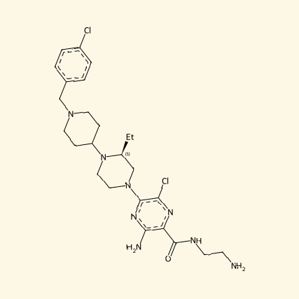 CC[C@H]1CN(c2nc(N)c(C(=O)NCCN)nc2Cl)CCN1C1CCN(Cc2ccc(Cl)cc2)CC1